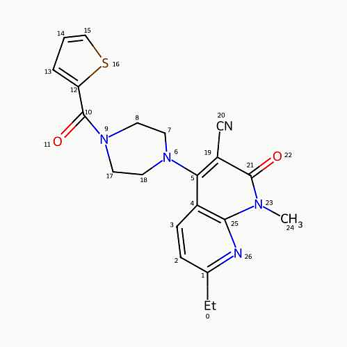 CCc1ccc2c(N3CCN(C(=O)c4cccs4)CC3)c(C#N)c(=O)n(C)c2n1